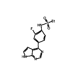 CCS(=O)(=O)Nc1ccc(-c2ncnc3[nH]ccc23)cc1F